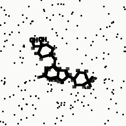 Cc1nc(CN2CCC(O)(CO)CC2)c2cc(C3CCC(C)(C)CC3)sc2n1